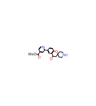 COC(=O)c1ccnc(-c2ccc3c(c2)C(=O)CC2(CCNCC2)O3)c1